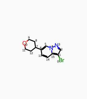 Brc1cnn2cc(C3CCOCC3)ccc12